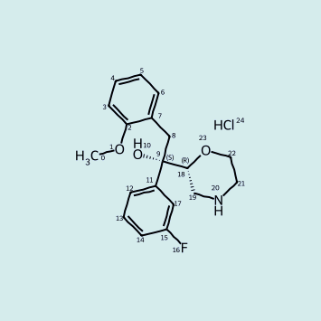 COc1ccccc1C[C@](O)(c1cccc(F)c1)[C@H]1CNCCO1.Cl